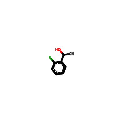 N#CC(O)c1ccccc1F